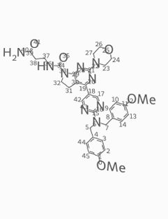 COc1ccc(CN(Cc2ccc(OC)cc2)c2ncc(-c3nc(N4CCOCC4)nc4c3CCN4C(=O)NCCC(N)=O)cn2)cc1